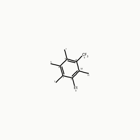 CCc1c(C)c(C)c(C)c(C(F)(F)F)c1C